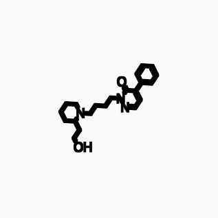 O=c1c(-c2ccccc2)ccnn1CCCCN1CCCCC1CCO